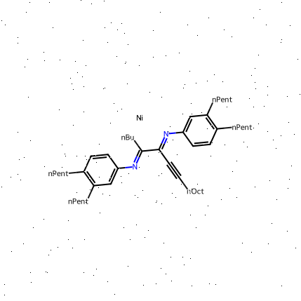 CCCCCCCCC#CC(=N\c1ccc(CCCCC)c(CCCCC)c1)/C(CCCC)=N/c1ccc(CCCCC)c(CCCCC)c1.[Ni]